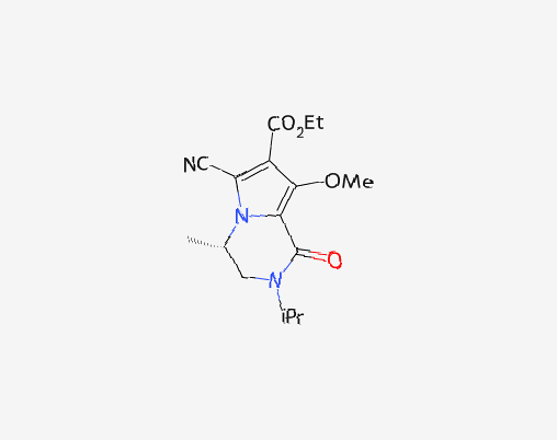 CCOC(=O)c1c(OC)c2n(c1C#N)[C@@H](C)CN(C(C)C)C2=O